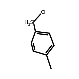 Cc1ccc([SiH2]Cl)cc1